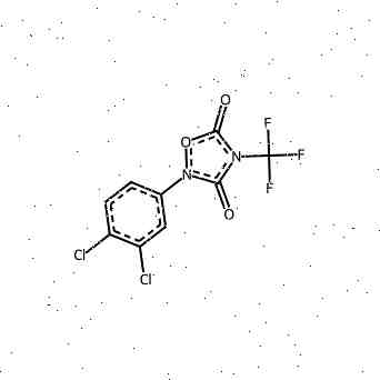 O=c1on(-c2ccc(Cl)c(Cl)c2)c(=O)n1C(F)(F)F